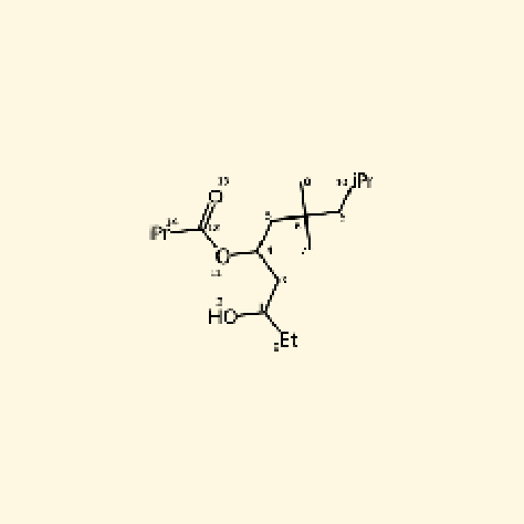 CCC(O)CC(CC(C)(C)CC(C)C)OC(=O)C(C)C